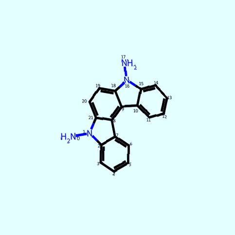 Nn1c2ccccc2c2c3c4ccccc4n(N)c3ccc21